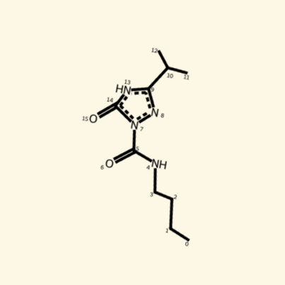 CCCCNC(=O)n1nc(C(C)C)[nH]c1=O